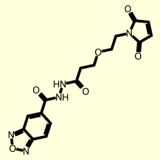 O=C(CCOCCN1C(=O)C=CC1=O)NNC(=O)c1ccc2nonc2c1